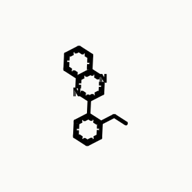 CCc1ccccc1-c1cnc2ccccc2n1